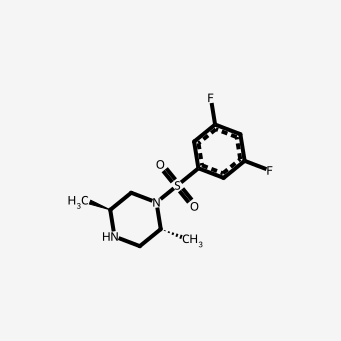 C[C@@H]1CN[C@@H](C)CN1S(=O)(=O)c1cc(F)cc(F)c1